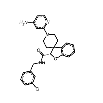 Nc1ccnc(N2CCC3(CC2)c2ccccc2O[C@@H]3C(=O)NCc2cccc(Cl)c2)c1